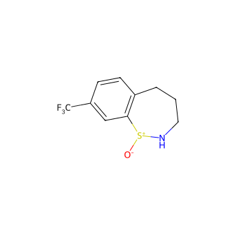 [O-][S+]1NCCCc2ccc(C(F)(F)F)cc21